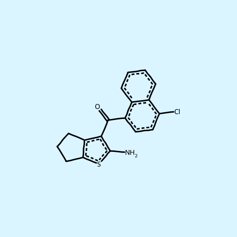 Nc1sc2c(c1C(=O)c1ccc(Cl)c3ccccc13)CCC2